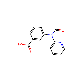 O=CN(c1cccc(C(=O)O)c1)c1ccccn1